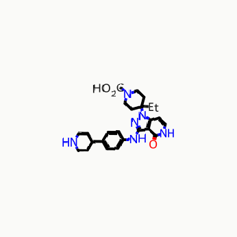 CCC1(n2nc(Nc3ccc(C4CCNCC4)cc3)c3c(=O)[nH]ccc32)CCN(C(=O)O)CC1